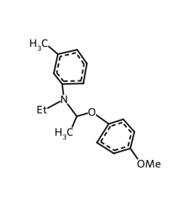 CCN(c1cccc(C)c1)C(C)Oc1ccc(OC)cc1